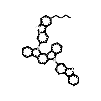 CCCCc1ccc2oc3cc(-n4c5ccccc5c5ccc6c(c7ccccc7n6-c6ccc7c(c6)oc6ccccc67)c54)ccc3c2c1